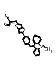 CCN1c2ccccc2C(=Cc2ccc(-c3cc4sc(/C=C(/C#N)C=O)cc4s3)cc2)c2ccccc21